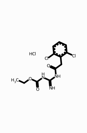 CCOC(=O)NC(=N)NC(=O)Cc1c(Cl)cccc1Cl.Cl